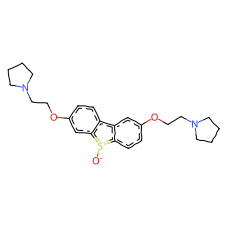 [O-][s+]1c2ccc(OCCN3CCCC3)cc2c2ccc(OCCN3CCCC3)cc21